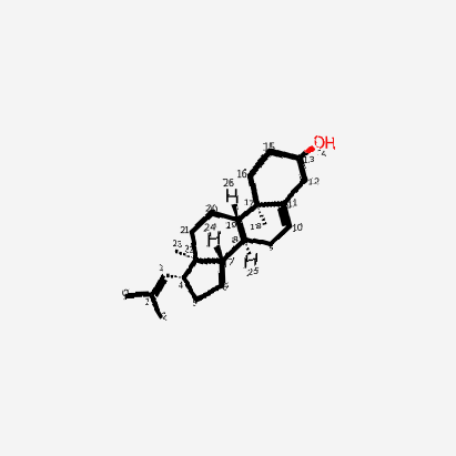 CC(C)=C[C@H]1CC[C@H]2[C@@H]3CC=C4CC(O)CC[C@]4(C)[C@H]3CC[C@]12C